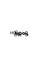 CC(C)(C)OC(=O)c1ccc(C2=CC[C@]3(C)CN(C(=O)C(=O)O)CC[C@H]3C2(C)C)cc1